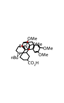 CCCCN1CCc2cc(OC)c(OC)cc2C12CCC(C(=O)O)CC2C1c2cc(OC)c(OC)cc2CCN1CC